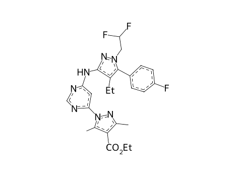 CCOC(=O)c1c(C)nn(-c2cc(Nc3nn(CC(F)F)c(-c4ccc(F)cc4)c3CC)ncn2)c1C